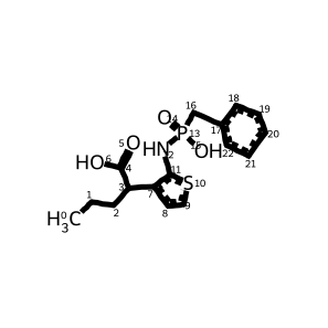 CCCC(C(=O)O)c1ccsc1NP(=O)(O)Cc1ccccc1